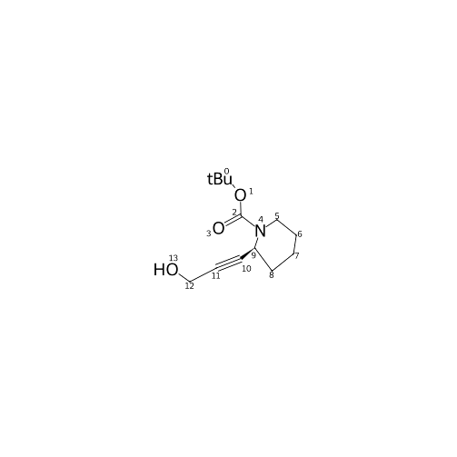 CC(C)(C)OC(=O)N1CCCC[C@H]1C#CCO